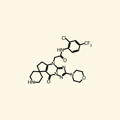 O=C(Cn1c2c(c(=O)n3nc(N4CCOCC4)nc13)C1(CCNCC1)CC2)Nc1ccc(C(F)(F)F)cc1Cl